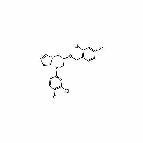 Clc1ccc(COC(CSc2ccc(Cl)c(Cl)c2)Cn2ccnc2)c(Cl)c1